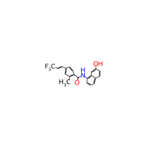 Cc1cc(/C=C/C(F)(F)F)ccc1C(=O)Nc1cccc2ccc(O)cc12